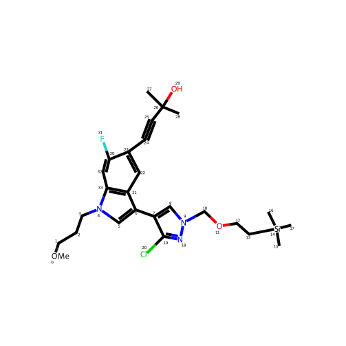 COCCCn1cc(-c2cn(COCC[Si](C)(C)C)nc2Cl)c2cc(C#CC(C)(C)O)c(F)cc21